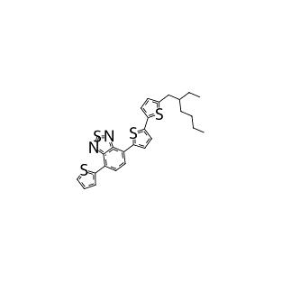 CCCCC(CC)Cc1ccc(-c2ccc(-c3ccc(-c4cccs4)c4nsnc34)s2)s1